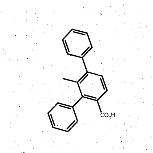 Cc1c(-c2ccccc2)ccc(C(=O)O)c1-c1ccccc1